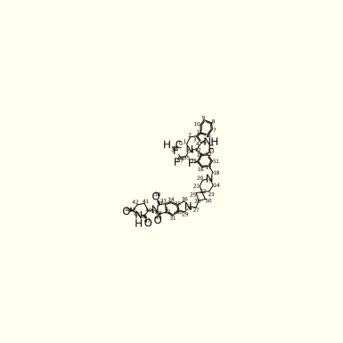 C[C@@H]1Cc2c([nH]c3ccccc23)[C@@H](c2c(F)cc(CN3CCC4(CC3)CC(CN3Cc5cc6c(cc5C3)C(=O)N(C3CCC(=O)NC3=O)C6=O)C4)cc2F)N1CC(F)F